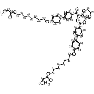 C=CC(=O)OCCCCCCCCOc1ccc(-c2ncc(C(=O)O[C@H]3OCCO[C@@H]3OC(=O)c3cnc(-c4ccc(OCCCCCCCCOC(=O)C=C)cc4)nc3)cn2)cc1